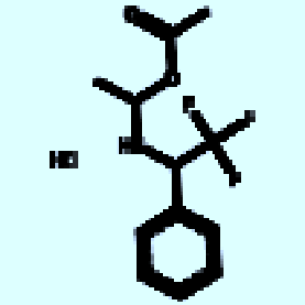 CC(=O)OC(C)NC(c1ccccc1)C(F)(F)F.Cl